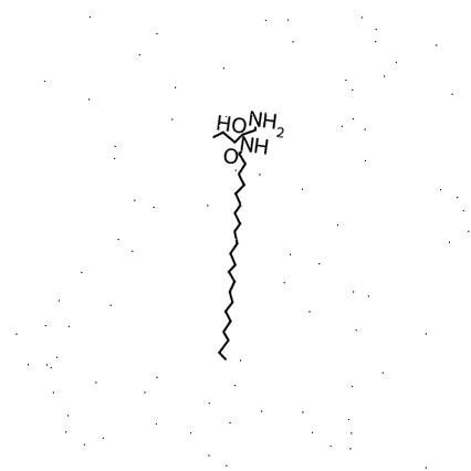 CCCCCCCCCCCCCCCCCCCCCC(=O)NC(O)(CN)CCC